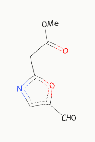 COC(=O)Cc1ncc(C=O)o1